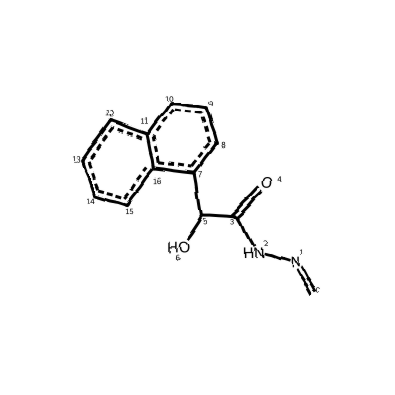 C=NNC(=O)C(O)c1cccc2ccccc12